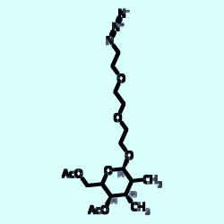 CC(=O)OCC1O[C@@H](OCCOCCOCCN=[N+]=[N-])C(C)[C@@H](C)[C@H]1OC(C)=O